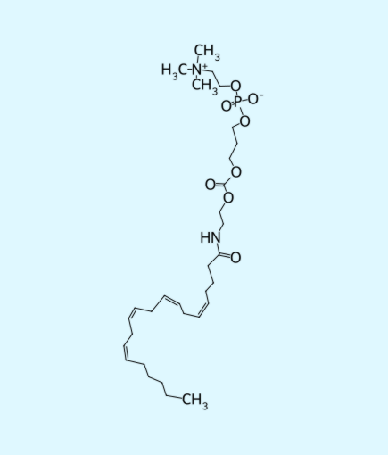 CCCCC/C=C\C/C=C\C/C=C\C/C=C\CCCC(=O)NCCOC(=O)OCCCOP(=O)([O-])OCC[N+](C)(C)C